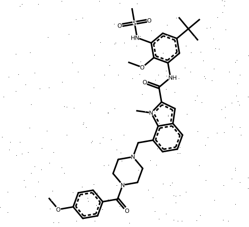 COc1ccc(C(=O)N2CCN(Cc3cccc4cc(C(=O)Nc5cc(C(C)(C)C)cc(NS(C)(=O)=O)c5OC)n(C)c34)CC2)cc1